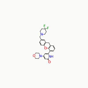 O=c1cc(N2CCOCC2)cc(-c2cccc3c2Oc2ccc(CN4CCC(F)(F)CC4)cc2C3)[nH]1